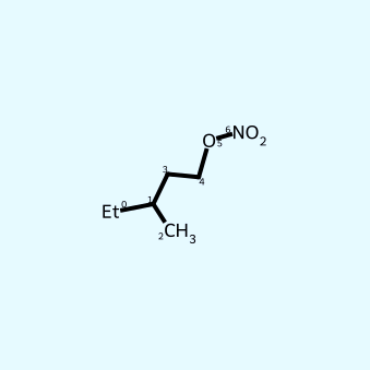 CCC(C)CCO[N+](=O)[O-]